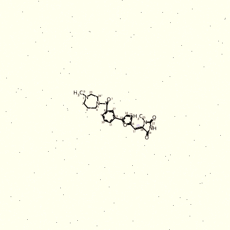 CN1CCCN(C(=O)c2cccc(-c3ccc(/C=C4/C(=O)NC(=O)N4C)o3)c2)CC1